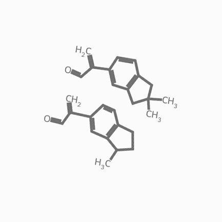 C=C(C=O)c1ccc2c(c1)C(C)CC2.C=C(C=O)c1ccc2c(c1)CC(C)(C)C2